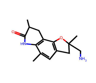 Cc1cc2c(c3c1NC(=O)C(C)C3)OC(C)(CN)C2